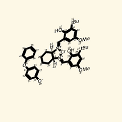 COc1cc(C=[N+]2[Cr][N+](=Cc3cc(OC)cc(C(C)(C)C)c3O)[C@@H]3CCCC[C@H]32)c(O)c(C(C)(C)C)c1.[O-]c1ccc(Oc2ccccc2)cc1